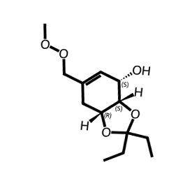 CCC1(CC)O[C@H]2[C@@H](O)C=C(COOC)C[C@H]2O1